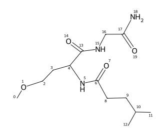 COCCC(NC(=O)CCC(C)C)C(=O)NCC(N)=O